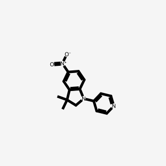 CC1(C)CN(c2ccncc2)c2ccc([N+](=O)[O-])cc21